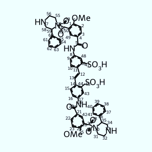 COc1ccc(C(=O)Nc2ccc(C=Cc3ccc(NC(=O)c4ccc(OC)c(S(=O)(=O)N5CCNCC5c5ccccc5)c4)cc3S(=O)(=O)O)c(S(=O)(=O)O)c2)cc1S(=O)(=O)N1CCNCC1c1ccccc1